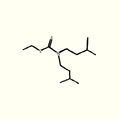 CCSC(=S)N(CCC(C)C)CCC(C)C